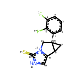 Fc1cccc([C@]23CC2c2c[nH]c(=S)n2C3)c1F